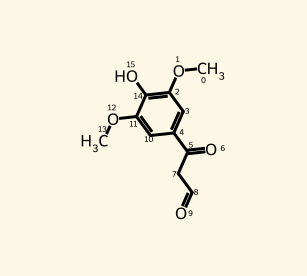 COc1cc(C(=O)CC=O)cc(OC)c1O